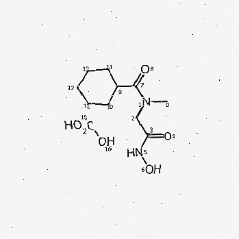 CN(CC(=O)NO)C(=O)C1CCCCC1.O=C(O)O